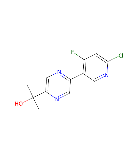 CC(C)(O)c1cnc(-c2cnc(Cl)cc2F)cn1